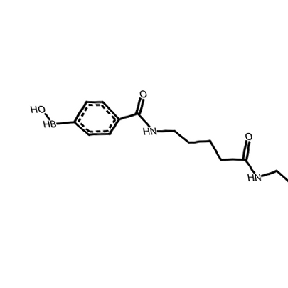 CC(C)(C)CNC(=O)CCCCNC(=O)c1ccc(BO)cc1